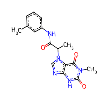 Cc1cccc(NC(=O)C(C)n2cnc3[nH]c(=O)n(C)c(=O)c32)c1